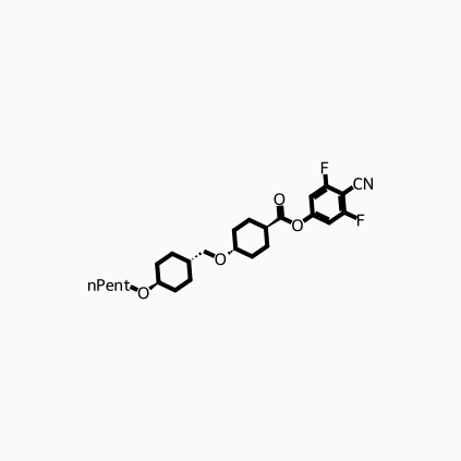 CCCCCO[C@H]1CC[C@H](CO[C@H]2CC[C@H](C(=O)Oc3cc(F)c(C#N)c(F)c3)CC2)CC1